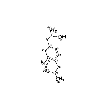 CC(O)Cc1ccc(CC(C)O)c(Br)c1